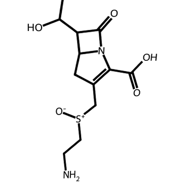 CC(O)C1C(=O)N2C(C(=O)O)=C(C[S+]([O-])CCN)CC12